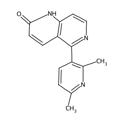 Cc1ccc(-c2nccc3[nH]c(=O)ccc23)c(C)n1